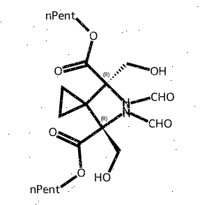 CCCCCOC(=O)[C@@](CO)(NC=O)C1([C@](CO)(NC=O)C(=O)OCCCCC)CC1